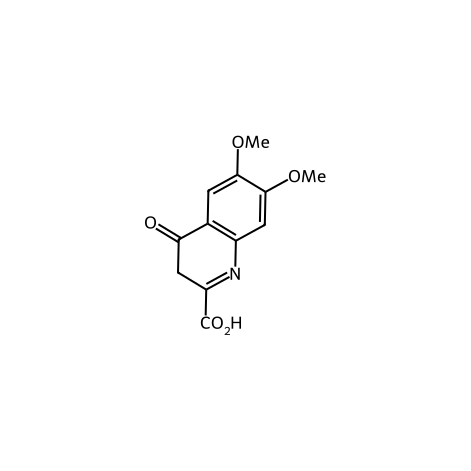 COc1cc2c(cc1OC)C(=O)CC(C(=O)O)=N2